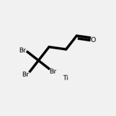 O=CCCC(Br)(Br)Br.[Ti]